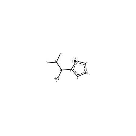 CC(C)C(O)c1cnc[nH]1